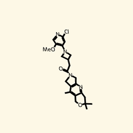 COc1cnc(Cl)cc1N1CC(CC(=O)N2Cc3nc4c(c(C)c3C2)COC(C)(C)C4)C1